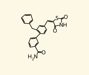 NC(=O)c1cccc(-c2ccc(C=C3SC(=O)NC3=O)cc2Cc2ccccc2)c1